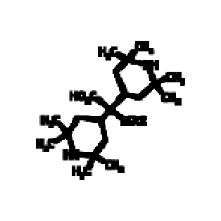 CCCCCCCCC(C(=O)O)(C1CC(C)(C)NC(C)(C)C1)C1CC(C)(C)NC(C)(C)C1